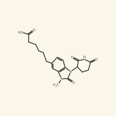 Cn1c(=O)n(C2CCC(=O)NC2=O)c2ccc(CCCCCC(=O)O)cc21